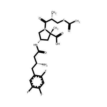 CC(=O)SC[C@@H](C)C(=O)N1C[C@@H](NC(=O)C[C@H](N)Cc2cc(F)c(F)cc2F)C[C@@]1(C)C(=O)O